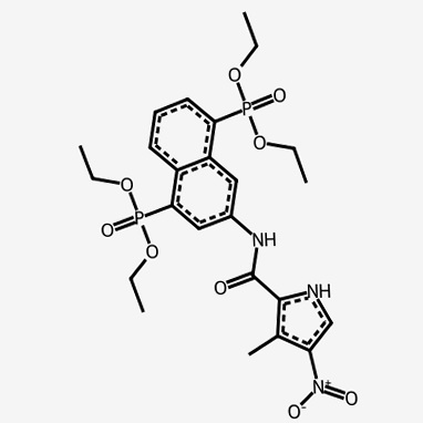 CCOP(=O)(OCC)c1cc(NC(=O)c2[nH]cc([N+](=O)[O-])c2C)cc2c(P(=O)(OCC)OCC)cccc12